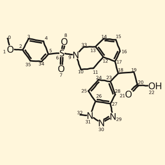 COc1ccc(S(=O)(=O)N2CCc3c(cccc3C(CC(=O)O)c3ccc4c(c3)nnn4C)C2)cc1